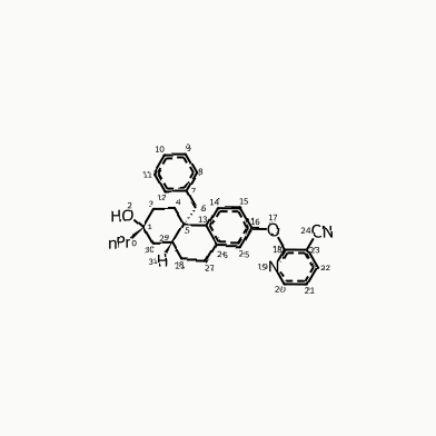 CCC[C@@]1(O)CC[C@@]2(Cc3ccccc3)c3ccc(Oc4ncccc4C#N)cc3CC[C@@H]2C1